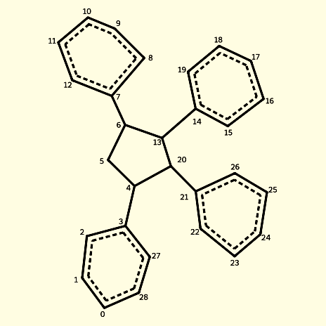 c1ccc(C2CC(c3ccccc3)C(c3ccccc3)C2c2ccccc2)cc1